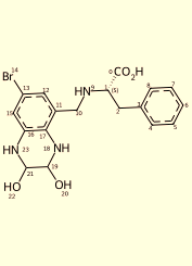 O=C(O)[C@H](Cc1ccccc1)NCc1cc(Br)cc2c1NC(O)C(O)N2